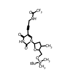 CC1CC(n2cc(C#CCNC(=O)C(F)(F)F)c(=O)[nH]c2=O)OC1CO[Si](C)(C)C(C)(C)C